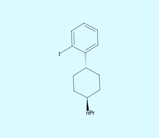 CCC[C@H]1CC[C@H](c2ccccc2I)CC1